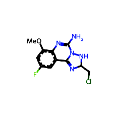 COc1cc(F)cc2c1N=C(N)N1NC(CCl)N=C21